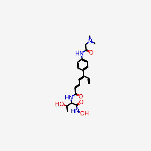 C=C/C(=C\C=C\C(=O)NC(C(=O)NO)C(C)O)c1ccc(NC(=O)CN(C)C)cc1